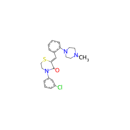 CN1CCN(c2ccccc2C=C2SCCN(c3cccc(Cl)c3)C2=O)CC1